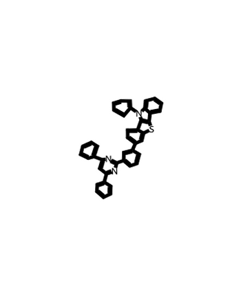 c1ccc(-c2cc(-c3ccccc3)nc(-c3cccc(-c4ccc5c(c4)sc4c6ccccc6n(-c6ccccc6)c54)c3)n2)cc1